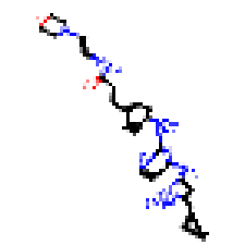 O=C(CCc1ccc(Nc2nccc(Nc3cc(C4CC4)n[nH]3)n2)cc1)NCCN1CCOCC1